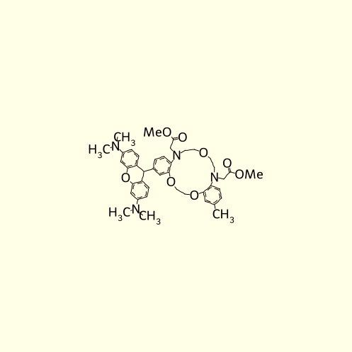 COC(=O)CN1CCOCCN(CC(=O)OC)c2ccc(C3c4ccc(N(C)C)cc4Oc4cc(N(C)C)ccc43)cc2OCCOc2cc(C)ccc21